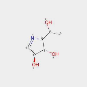 C[C@@H](O)[C@H]1N=C[C@H](O)[C@H]1O